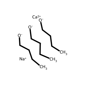 CCCC[O-].CCCC[O-].CCCC[O-].[Ca+2].[Na+]